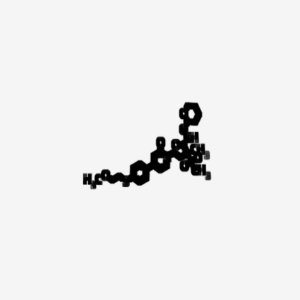 COCCSc1ccc(-c2ccn(CC[C@](C)(C(=O)NOC3CCCCO3)S(C)(=O)=O)c(=O)c2)cc1